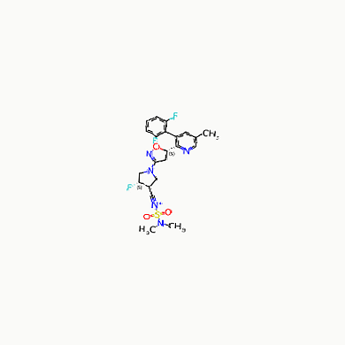 Cc1cnc([C@@H]2CC(N3CC(C#[N+]S(=O)(=O)N(C)C)[C@H](F)C3)=NO2)c(-c2c(F)cccc2F)c1